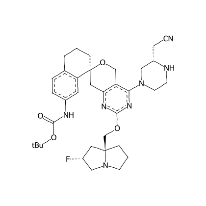 CC(C)(C)OC(=O)Nc1ccc2c(c1)[C@]1(CCC2)Cc2nc(OC[C@@]34CCCN3C[C@H](F)C4)nc(N3CCN[C@@H](CC#N)C3)c2CO1